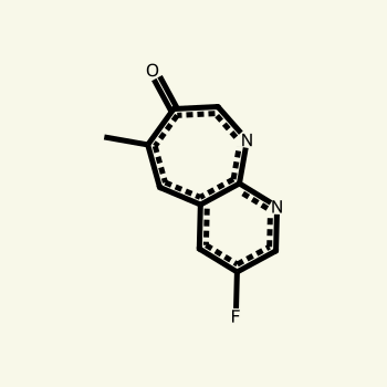 Cc1cc2cc(F)cnc2ncc1=O